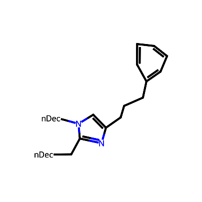 CCCCCCCCCCCc1nc(CCCc2ccccc2)cn1CCCCCCCCCC